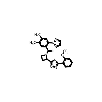 Cc1cc(C(=O)N2CCC2c2nc(-c3ccccc3OC(F)(F)F)no2)c(-n2nccn2)cc1C